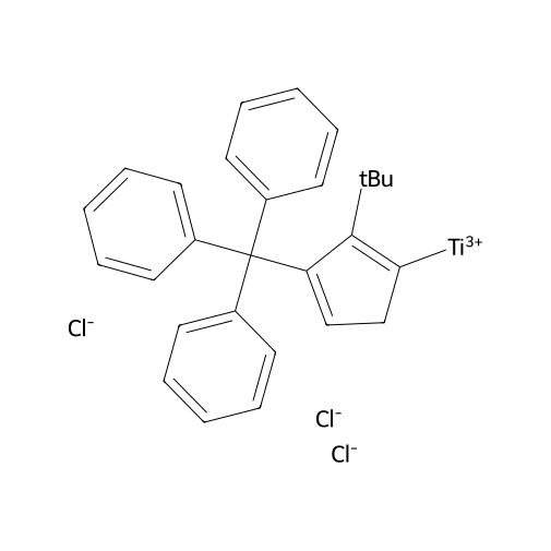 CC(C)(C)C1=[C]([Ti+3])CC=C1C(c1ccccc1)(c1ccccc1)c1ccccc1.[Cl-].[Cl-].[Cl-]